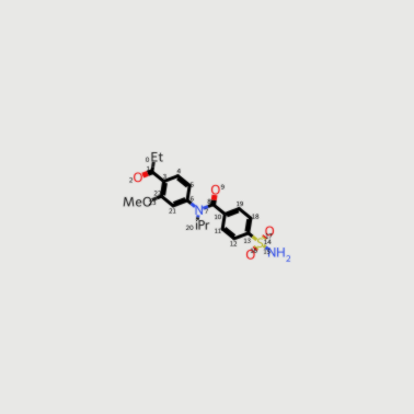 CCC(=O)c1ccc(N(C(=O)c2ccc(S(N)(=O)=O)cc2)C(C)C)cc1OC